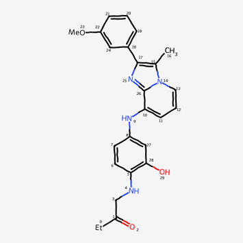 CCC(=O)CNc1ccc(Nc2cccn3c(C)c(-c4cccc(OC)c4)nc23)cc1O